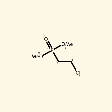 COP(=O)([CH]CCl)OC